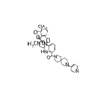 Cc1ccc(Cl)c(S(=O)(=O)N(C)Cc2nc3cccc(C(=O)N4CCC5(CC4)CCN(c4ccncc4)CC5)c3[nH]2)c1Cl